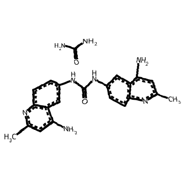 Cc1cc(N)c2cc(NC(=O)Nc3ccc4nc(C)cc(N)c4c3)ccc2n1.NC(N)=O